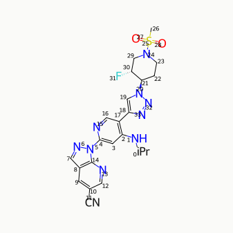 CC(C)Nc1cc(-n2ncc3cc(C#N)cnc32)ncc1-c1cn([C@@H]2CCN(S(C)(=O)=O)C[C@H]2F)nn1